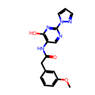 COc1cccc(CC(=O)Nc2cnc(-n3cccn3)nc2O)c1